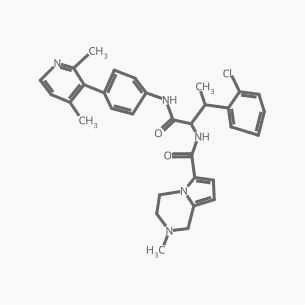 Cc1ccnc(C)c1-c1ccc(NC(=O)C(NC(=O)c2ccc3n2CCN(C)C3)C(C)c2ccccc2Cl)cc1